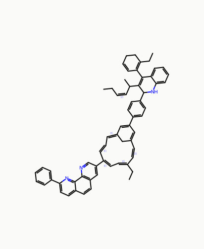 CC/C=C\C(C)C1=C(C2=C(CC)CCC=C2)c2ccccc2NC1c1ccc(C2=C/C3=C/C=C/C(c4cnc5c(ccc6ccc(-c7ccccc7)nc65)c4)=C\C=C(CC)\C=C/C(=C2)C3)cc1